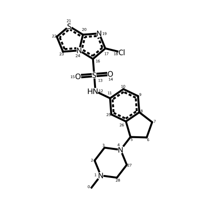 CN1CCN(C2CCc3ccc(NS(=O)(=O)c4c(Cl)nc5sccn45)cc32)CC1